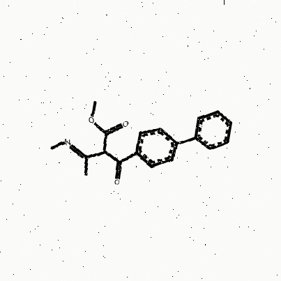 C/N=C(\C)C(C(=O)OC)C(=O)c1ccc(-c2ccccc2)cc1